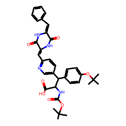 CC(C)(C)OC(=O)NC(C(=O)O)C(c1ccc(OC(C)(C)C)cc1)c1ccc(C=c2[nH]c(=O)/c(=C/c3ccccc3)[nH]c2=O)nc1